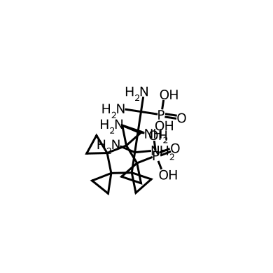 NC(N)(C(N)(N)C(N)(N)P(=O)(O)O)C1(C2(C3(C4(C5(P(=O)(O)O)CC5)CC4)CC3)CC2)CC1